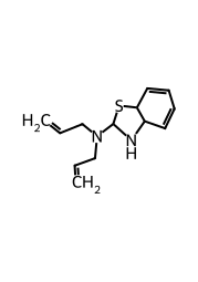 C=CCN(CC=C)C1NC2C=CC=CC2S1